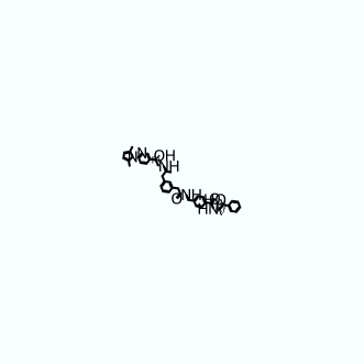 Cc1ccc(C)n1-c1ccc([C@@H](O)CNC(C)Cc2cccc(CC(=O)NCc3ccc(C(=O)N[C@H](C)[C@@H](O)c4ccccc4)cc3)c2)cn1